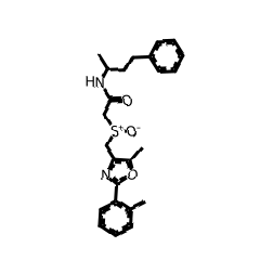 Cc1ccccc1-c1nc(C[S+]([O-])CC(=O)NC(C)CCc2ccccc2)c(C)o1